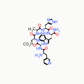 C[C@H](NC(=O)[C@H](CC(=O)O)NC(=O)CNC(=O)[C@@H](N)Cc1cccnc1)C(=O)N[C@@H](Cc1c[nH]cn1)C(=O)N[C@@H](Cc1c[nH]c2ccccc12)C(N)=O